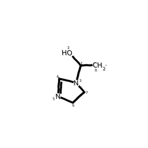 [CH2]C(O)N1C=NCC1